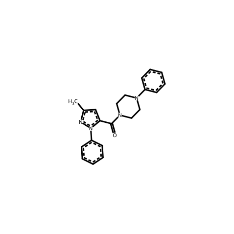 Cc1cc(C(=O)N2CCN(c3ccccc3)CC2)n(-c2ccccc2)n1